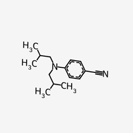 CC(C)CN(CC(C)C)c1ccc(C#N)cc1